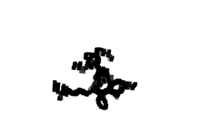 CC(=O)C[C@H](N)c1cn([C@@H](CCCCN)C(=O)C2CCNCC2)nn1